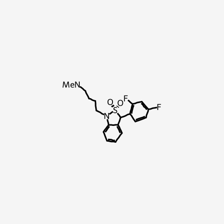 CNCCCCN1c2ccccc2C(c2ccc(F)cc2F)S1(=O)=O